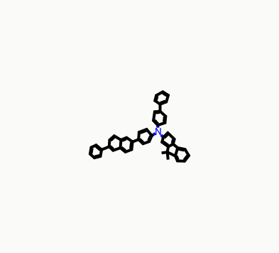 CC1(C)c2ccccc2-c2ccc(N(c3ccc(-c4ccccc4)cc3)c3ccc(-c4ccc5cc(-c6ccccc6)ccc5c4)cc3)cc21